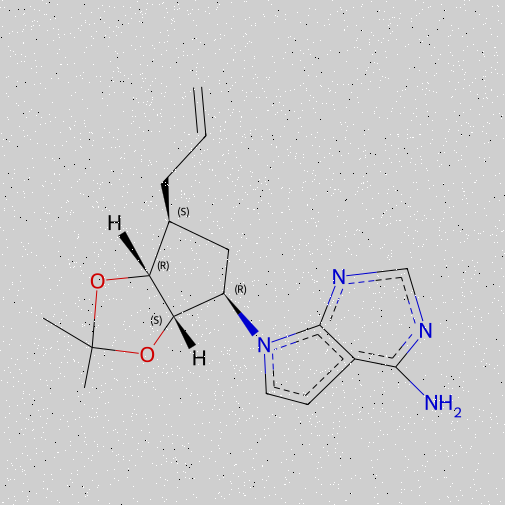 C=CC[C@H]1C[C@@H](n2ccc3c(N)ncnc32)[C@@H]2OC(C)(C)O[C@H]12